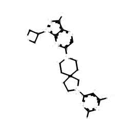 Cc1nc(N2CCC3(CCN(c4cnc5c(C)nn(C6COC6)c5n4)CC3)C2)cc(C(F)(F)F)n1